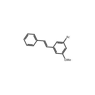 COc1cc(C=Cc2ccccc2)cc(C(C)=O)c1